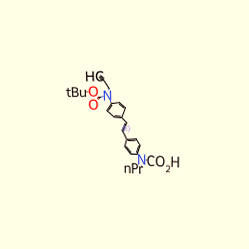 C#CCN(C(=O)OC(C)(C)C)c1ccc(/C=C/c2ccc(N(CCC)C(=O)O)cc2)cc1